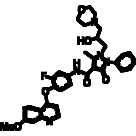 COc1ccc2c(Oc3ccc(NC(=O)c4c(C)n(CC(O)CN5CCOCC5)n(-c5ccccc5)c4=O)cc3F)ccnc2c1